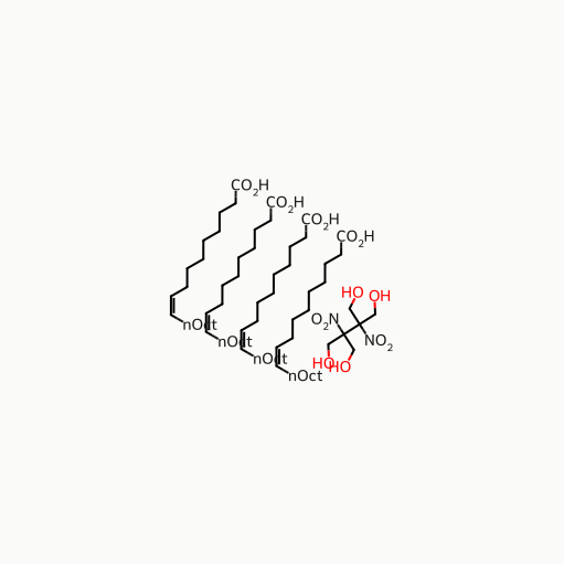 CCCCCCCC/C=C\CCCCCCCC(=O)O.CCCCCCCC/C=C\CCCCCCCC(=O)O.CCCCCCCC/C=C\CCCCCCCC(=O)O.CCCCCCCC/C=C\CCCCCCCC(=O)O.O=[N+]([O-])C(CO)(CO)C(CO)(CO)[N+](=O)[O-]